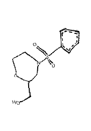 O=S(=O)(c1ccccc1)N1CCOC(CO)C1